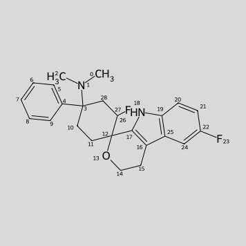 CN(C)C1(c2ccccc2)CCC2(OCCc3c2[nH]c2ccc(F)cc32)C(F)C1